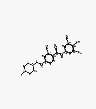 CC1CCC(COc2ccc(C(=O)Oc3cc(F)c(F)c(F)c3)c(F)c2)CC1